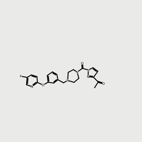 CC(=O)c1ccn(C(=O)N2CCN(Cc3cccc(Oc4ccc(F)cn4)c3)CC2)n1